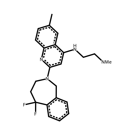 CNCCNc1cc(N2CCC(F)(F)c3ccccc3C2)nc2ccc(C)cc12